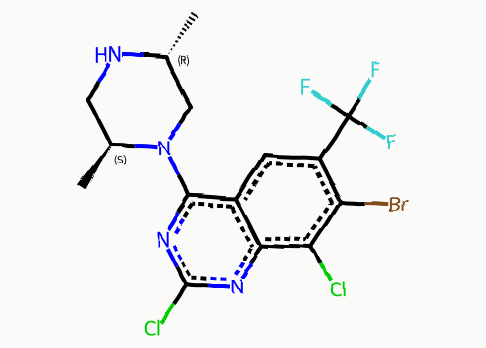 C[C@@H]1CN(c2nc(Cl)nc3c(Cl)c(Br)c(C(F)(F)F)cc23)[C@@H](C)CN1